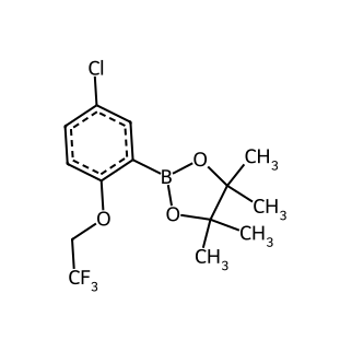 CC1(C)OB(c2cc(Cl)ccc2OCC(F)(F)F)OC1(C)C